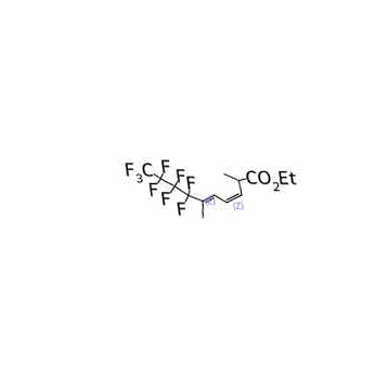 CCOC(=O)C(C)/C=C\C=C(/C)C(F)(F)C(F)(F)C(F)(F)C(F)(F)F